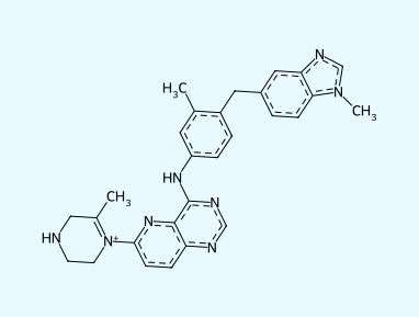 CC1=[N+](c2ccc3ncnc(Nc4ccc(Cc5ccc6c(c5)ncn6C)c(C)c4)c3n2)CCNC1